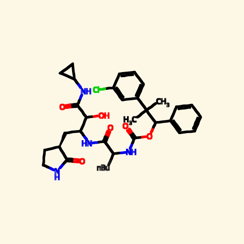 CCCCC(NC(=O)OC(c1ccccc1)C(C)(C)c1cccc(Cl)c1)C(=O)NC(C[C@@H]1CCNC1=O)C(O)C(=O)NC1CC1